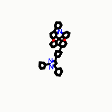 c1ccc(-c2cc(-c3ccc(-c4cccc(C5(c6ccccc6)c6ccccc6-n6c7ccccc7c7cccc5c76)c4)cc3)nc(-c3ccccc3)n2)cc1